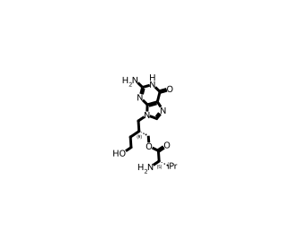 CC(C)[C@H](N)C(=O)OC[C@H](CCO)Cn1cnc2c(=O)[nH]c(N)nc21